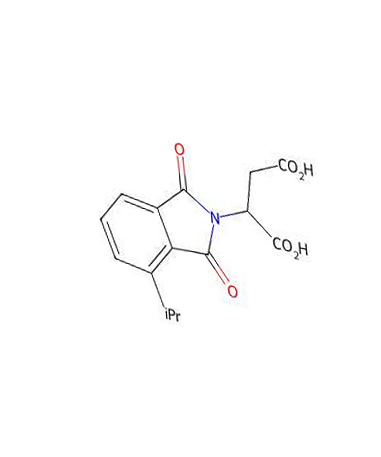 CC(C)c1cccc2c1C(=O)N(C(CC(=O)O)C(=O)O)C2=O